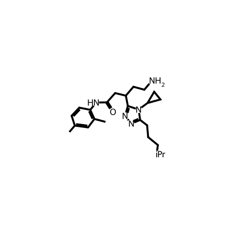 Cc1ccc(NC(=O)CC(CCN)c2nnc(CCCC(C)C)n2C2CC2)c(C)c1